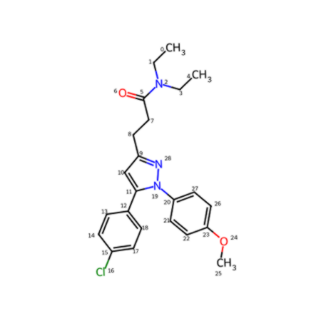 CCN(CC)C(=O)CCc1cc(-c2ccc(Cl)cc2)n(-c2ccc(OC)cc2)n1